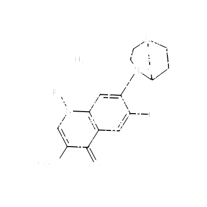 C.CCn1cc(C(=O)O)c(=O)c2cc(F)c(N3CCN4CCC3CC4)cc21